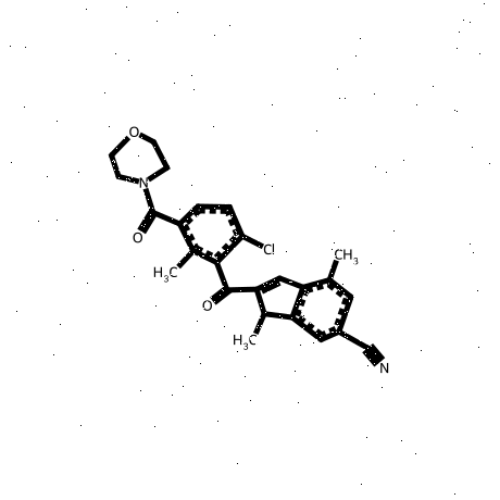 Cc1cc(C#N)cc2c1C=C(C(=O)c1c(Cl)ccc(C(=O)N3CCOCC3)c1C)C2C